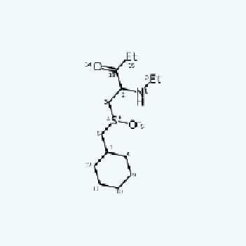 CCNC(C[S+]([O-])CC1CCCCC1)C(=O)CC